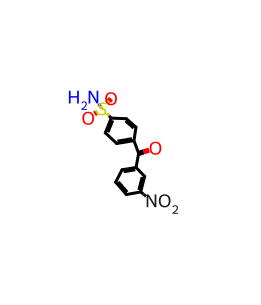 NS(=O)(=O)c1ccc(C(=O)c2cccc([N+](=O)[O-])c2)cc1